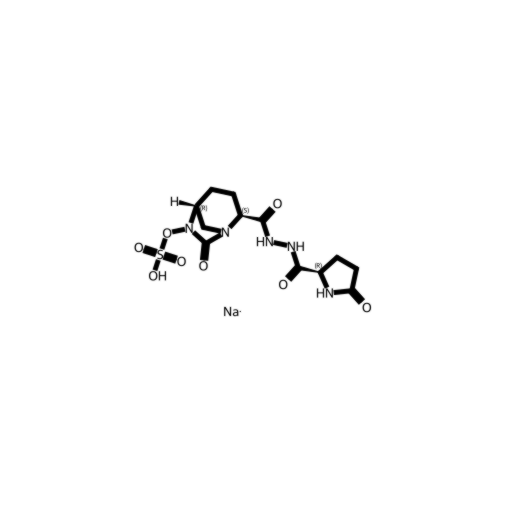 O=C1CC[C@H](C(=O)NNC(=O)[C@@H]2CC[C@@H]3CN2C(=O)N3OS(=O)(=O)O)N1.[Na]